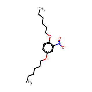 CCCCCCOc1ccc(OCCCCCC)c([N+](=O)[O-])c1